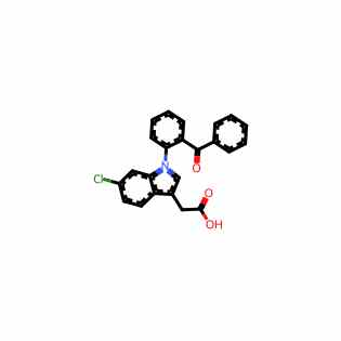 O=C(O)Cc1cn(-c2ccccc2C(=O)c2ccccc2)c2cc(Cl)ccc12